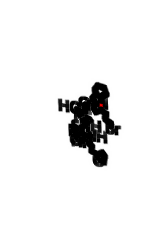 N=C(NCCc1ccco1)c1c(O)nsc1Nc1nc(O)c(C(=O)N2CC(/C=C/CBr)c3nc4ccccc4cc32)s1